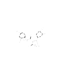 Cc1cc([C@H]2CNC(=O)[C@@H]2C(=O)Nc2ccc(F)cc2F)ccc1Cl